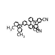 CC1C=Cc2c(c3c(n2-c2cccc(-c4ccc(C#N)cc4-c4ccccc4-n4c5ccc(C#N)cc5c5cc(C#N)ccc54)c2)C=CCC3C)C1